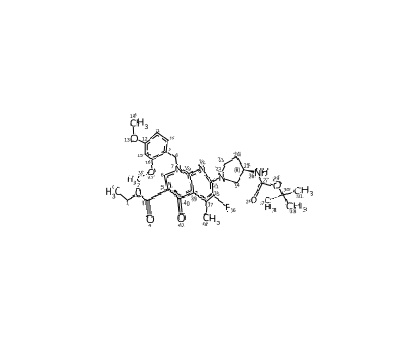 CCOC(=O)c1cn(Cc2ccc(OC)cc2OC)c2nc(N3CC[C@@H](NC(=O)OC(C)(C)C)C3)c(F)c(C)c2c1=O